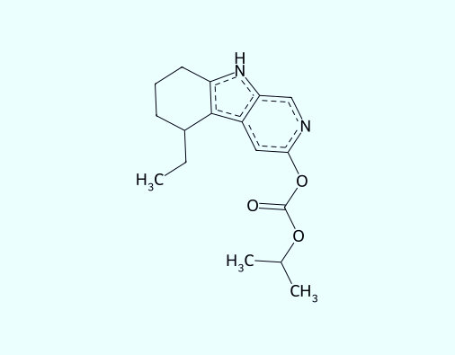 CCC1CCCc2[nH]c3cnc(OC(=O)OC(C)C)cc3c21